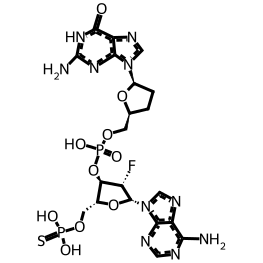 Nc1nc2c(ncn2[C@H]2CC[C@@H](COP(=O)(O)O[C@H]3[C@H](F)[C@H](n4cnc5c(N)ncnc54)O[C@@H]3COP(O)(O)=S)O2)c(=O)[nH]1